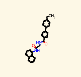 CCc1ccc(-c2ccc(C(=O)NCC(=O)Nc3cccc4ccccc34)cc2)cc1